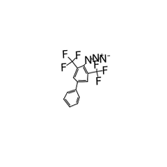 [N-]=[N+]=Nc1c(C(F)(F)F)cc(-c2ccccc2)cc1C(F)(F)F